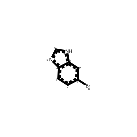 Brc1c[c]c2nc[nH]c2c1